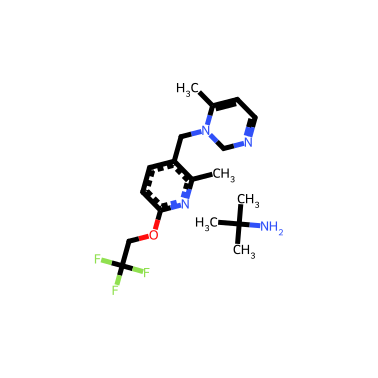 CC(C)(C)N.CC1=CC=NCN1Cc1ccc(OCC(F)(F)F)nc1C